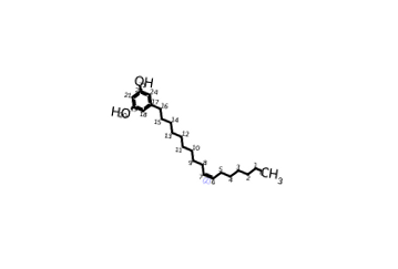 CCCCCC/C=C\CCCCCCCCCc1cc(O)cc(O)c1